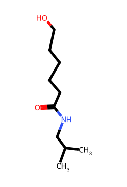 CC(C)CNC(=O)CCCCCO